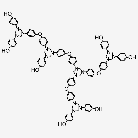 Oc1ccc(N2CN(c3ccc(O)cc3)CN(c3ccc(Oc4ccc(N5CN(c6ccc(O)cc6)CN(c6ccc(Oc7ccc(N8CN(c9ccc(Oc%10ccc(N%11CN(c%12ccc(O)cc%12)CN(c%12ccc(O)cc%12)C%11)cc%10)cc9)CN(c9ccc(Oc%10ccc(N%11CN(c%12ccc(O)cc%12)CN(c%12ccc(O)cc%12)C%11)cc%10)cc9)C8)cc7)cc6)C5)cc4)cc3)C2)cc1